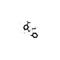 CC(C)c1cc(C(=N)N(C(=N)C(N)=O)c2ccccc2F)c(O)cc1O